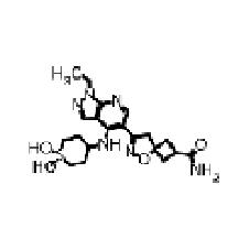 CCn1ncc2c(NC3CCS(O)(O)CC3)c(C3=NOC4(C3)CC(C(N)=O)C4)cnc21